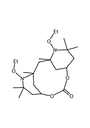 CCON1C(C)(C)CC2CC1(C)CC1(C)CC(CC(C)(C)N1OCC)OC(=O)O2